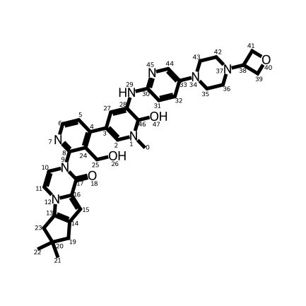 CN1C=C(c2ccnc(-n3ccn4c5c(cc4c3=O)CC(C)(C)C5)c2CO)C=C(Nc2ccc(N3CCN(C4COC4)CC3)cn2)C1O